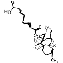 CC1=C[C@H]2O[C@@H]3C[C@@H](OC(=O)/C=C/C=C/C=C/C(O)O)C(C)([C@@]34O[C@@H]4C)[C@@]2(C)CC1